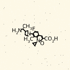 Cc1c(N2CCC([C@H](C)N)C2)c(F)cc2cc(C(=O)O)c(=O)n(C3CC3)c12